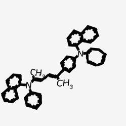 C/C(=C\C=C(/C)N(c1ccccc1)c1cccc2ccccc12)c1ccc(N(C2=CCC=CC=C2)c2cccc3ccccc23)cc1